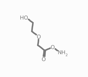 NOC(=O)COCCO